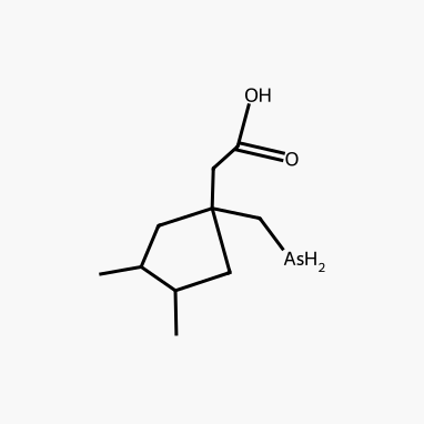 CC1CC(C[AsH2])(CC(=O)O)CC1C